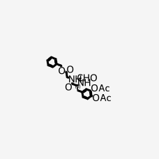 CC(=O)Oc1ccc(C[C@H](NC=O)C(=O)NCC(=O)OCc2ccccc2)cc1OC(C)=O